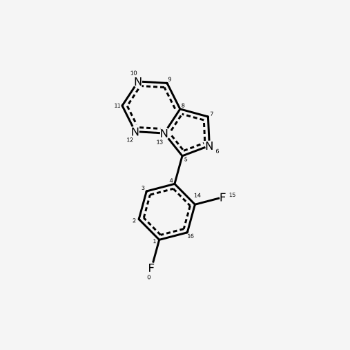 Fc1ccc(-c2ncc3cncnn23)c(F)c1